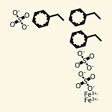 CCc1ccccc1.CCc1ccccc1.CCc1ccccc1.O=S(=O)([O-])[O-].O=S(=O)([O-])[O-].O=S(=O)([O-])[O-].[Fe+3].[Fe+3]